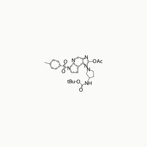 CC(=O)Oc1nc2cnc3c(ccn3S(=O)(=O)c3ccc(C)cc3)c2n1N1CCC(NC(=O)OC(C)(C)C)C1